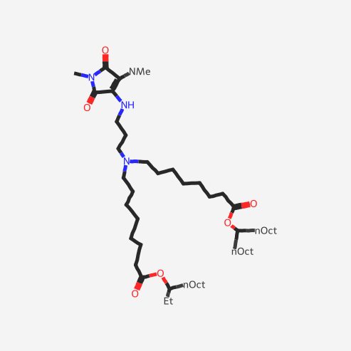 CCCCCCCCC(CC)OC(=O)CCCCCCCN(CCCCCCCC(=O)OC(CCCCCCCC)CCCCCCCC)CCCNC1=C(NC)C(=O)N(C)C1=O